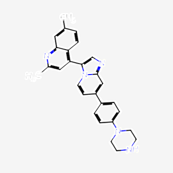 Cc1ccc2c(-c3cnc4cc(-c5ccc(N6CCNCC6)cc5)ccn34)cc(C)nc2c1